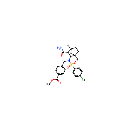 COC(=O)c1ccc(CN(C2C(C(N)=O)[C@@H]3CC[C@H]2C3)S(=O)(=O)c2ccc(Cl)cc2)cc1